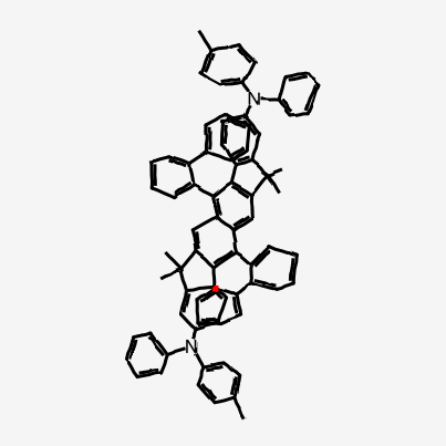 Cc1ccc(N(c2ccccc2)c2ccc3c(c2)C(C)(C)c2cc4c(-c5ccccc5-c5ccccc5)c5c(cc4c(-c4ccccc4-c4ccccc4)c2-3)C(C)(C)c2cc(N(c3ccccc3)c3ccc(C)cc3)ccc2-5)cc1